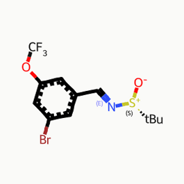 CC(C)(C)[S@@+]([O-])/N=C/c1cc(Br)cc(OC(F)(F)F)c1